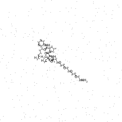 C=CCCCC1N=CSC[C@@H]1NC(=O)C1CCCN1C(=O)[C@@H](NC(=O)CCOCCOCCOCCOCCN)C(C)(C)C